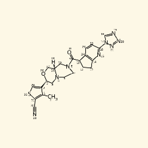 Cc1c([C@@H]2CN3CCN(C(=O)C4CCc5nc(-n6cnnn6)ccc54)C[C@H]3CO2)csc1C#N